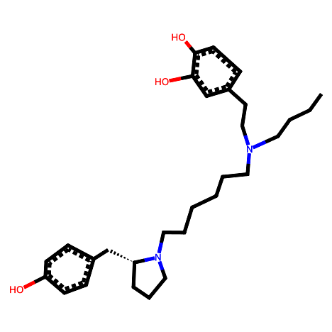 CCCCN(CCCCCCN1CCC[C@@H]1Cc1ccc(O)cc1)CCc1ccc(O)c(O)c1